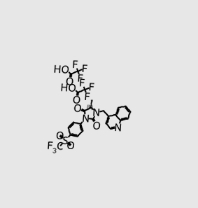 C[C@@H]1C(=O)N(c2ccc(S(=O)(=O)C(F)(F)F)cc2)C(=O)N1Cc1ccnc2ccccc12.O=C(O)C(F)(F)F.O=C(O)C(F)(F)F